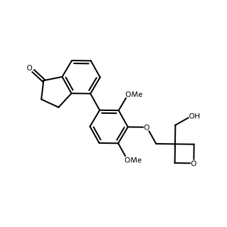 COc1ccc(-c2cccc3c2CCC3=O)c(OC)c1OCC1(CO)COC1